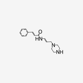 O=C(C=Cc1ccccc1)NC=CCN1CCNCC1